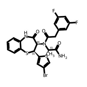 C[C@@H](C(N)=O)N(C(=O)Cc1cc(F)cc(F)c1)[C@@H]1C(=O)Nc2ccccc2S[C@@H]1c1cc(Br)cs1